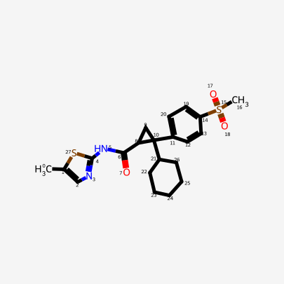 Cc1cnc(NC(=O)C2CC2(c2ccc(S(C)(=O)=O)cc2)C2CCCCC2)s1